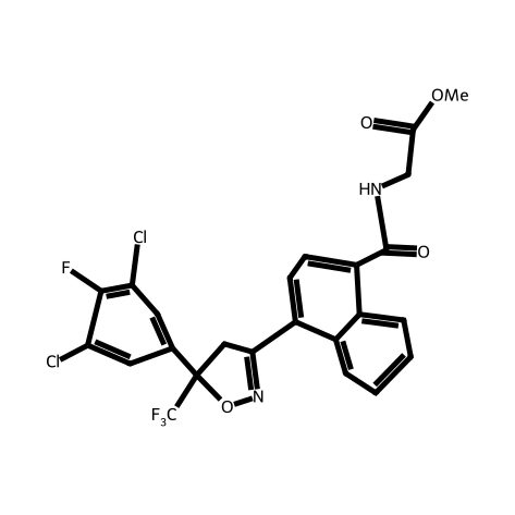 COC(=O)CNC(=O)c1ccc(C2=NOC(c3cc(Cl)c(F)c(Cl)c3)(C(F)(F)F)C2)c2ccccc12